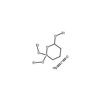 CCOC1CCC[Si](OCC)(OCC)O1.N=C=O